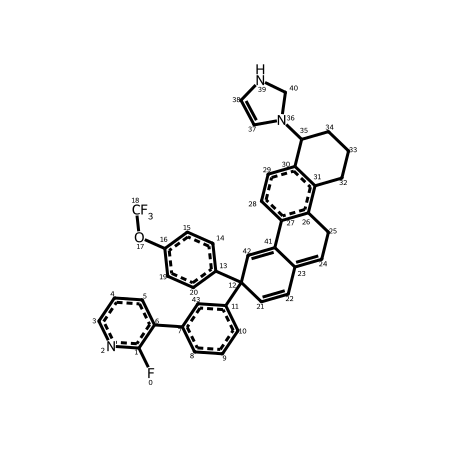 Fc1ncccc1-c1cccc(C2(c3ccc(OC(F)(F)F)cc3)C=CC3=CCc4c(ccc5c4CCCC5N4C=CNC4)C3=C2)c1